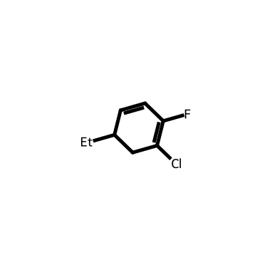 CCC1C=CC(F)=C(Cl)C1